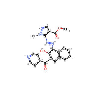 COC(=O)c1cnn(C)c1/N=N/c1c(O)c(C(=O)c2ccncc2)cc2ccccc12